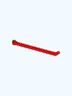 CC(C)(C)CC(C)(C)c1ccc(OCCOCCOCCOCCOCCOCCOCCOCCOCCOCCOCCOCCOCCOCCOCCOCCOCCOCCOCCOCCOCCOCCOS(=O)(=O)C(F)(F)F)cc1